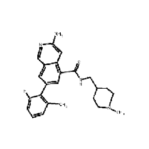 Cc1cccc(F)c1-c1cc(C(=O)NCC2CCN(C)CC2)c2cc(N)ncc2c1